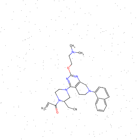 C=CC(=O)N1CCN(c2nc(OCCN(C)C)nc3c2CCN(c2cccc4ccccc24)C3)CC1CC#N